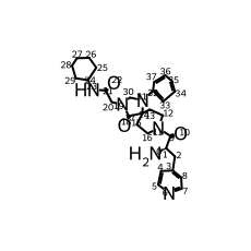 N[C@H](Cc1ccncc1)C(=O)N1CCC2(CC1)C(=O)N(CC(=O)NC1CCCCC1)CN2c1ccccc1